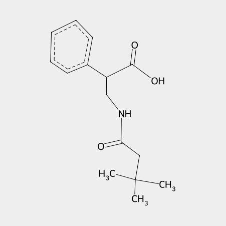 CC(C)(C)CC(=O)NCC(C(=O)O)c1ccccc1